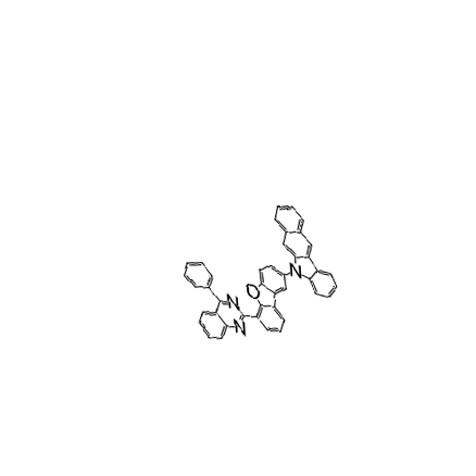 c1ccc(-c2nc(-c3cccc4c3oc3ccc(-n5c6ccccc6c6cc7ccccc7cc65)cc34)nc3ccccc23)cc1